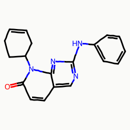 O=c1ccc2cnc(Nc3ccccc3)nc2n1C1CC=CCC1